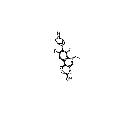 CCn1cc(OC(=O)O)c(=O)c2cc(F)c(N3CC4CC3CN4)c(F)c21